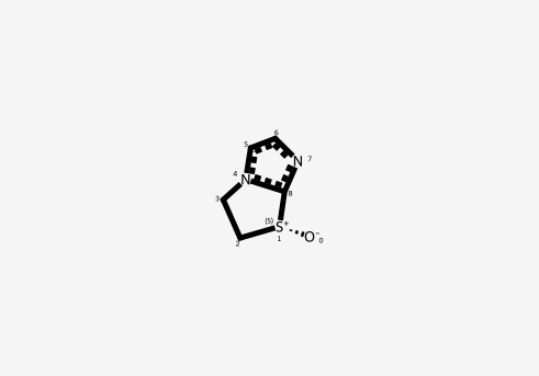 [O-][S@+]1CCn2c[c]nc21